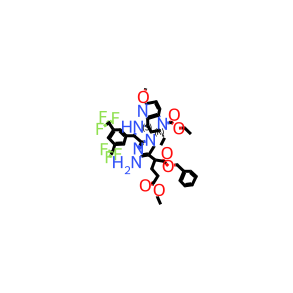 CCOC(=O)CCC(C(=O)OCc1ccccc1)c1cnc(C(N[C@H]2C[C@@H](CC)N(C(=O)OCC)c3ccc(OC)nc32)c2cc(C(F)(F)F)cc(C(F)(F)F)c2)nc1N